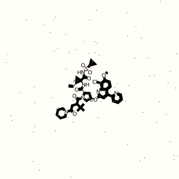 C=C[C@@H]1C[C@]1(NC(=O)[C@@H]1C[C@@H](Oc2cc(-c3ccccn3)c3ccc(OC)c(Cl)c3n2)CN1C(=O)C(CC(=O)N1CCCCC1)C(C)(C)C)C(=O)NS(=O)(=O)C1CC1